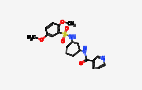 COc1ccc(OC)c(S(=O)(=O)NC2CCCC(NC(=O)c3cccnc3)C2)c1